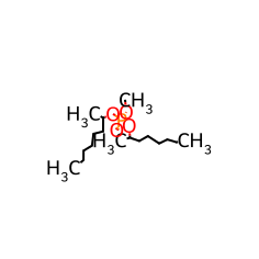 CCCCCCC(C)OP(=O)(OC)OC(C)CCCCCC